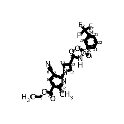 CCOC(=O)c1cc(C#N)c(N2CC(C(=O)NS(=O)(=O)c3cccc(C(F)(F)F)c3)C2)nc1C